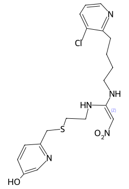 O=[N+]([O-])/C=C(/NCCCCc1ncccc1Cl)NCCSCc1ccc(O)cn1